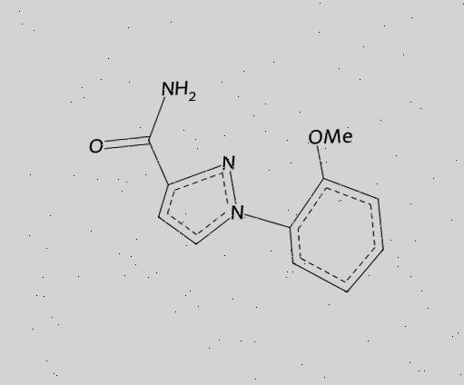 COc1ccccc1-n1ccc(C(N)=O)n1